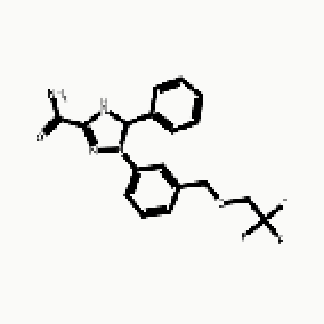 NC(=O)C1=NN(c2cccc(COCC(F)(F)F)c2)C(c2ccccc2)N1